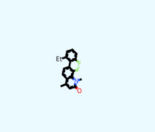 CCc1cccc(F)c1-c1ccc2c(C)cc(=O)n(C)c2c1F